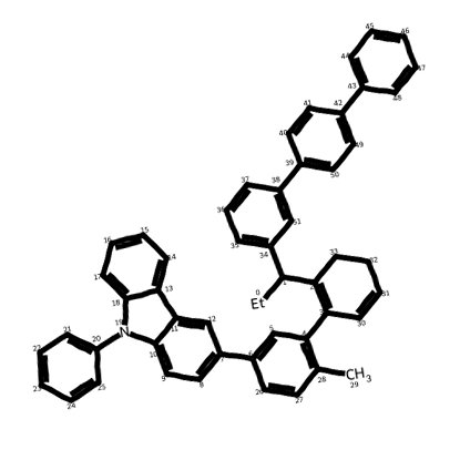 CCC(C1=C(c2cc(-c3ccc4c(c3)c3ccccc3n4-c3ccccc3)ccc2C)C=CCC1)c1cccc(-c2ccc(-c3ccccc3)cc2)c1